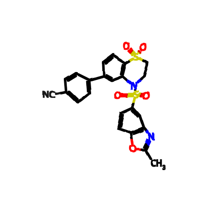 Cc1nc2cc(S(=O)(=O)N3CCS(=O)(=O)c4ccc(-c5ccc(C#N)cc5)cc43)ccc2o1